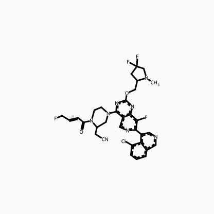 CN1CC(F)(F)CC1COc1nc(N2CCN(C(=O)/C=C/CF)C(CC#N)C2)c2cnc(-c3cncc4cccc(Cl)c34)c(F)c2n1